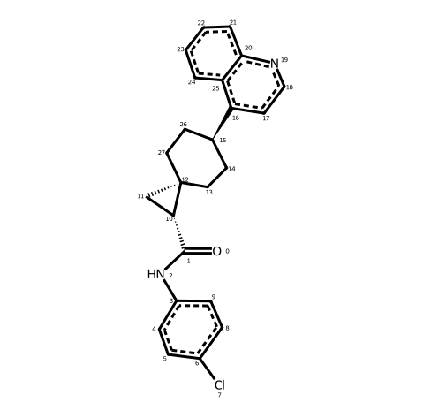 O=C(Nc1ccc(Cl)cc1)[C@@H]1C[C@]12CC[C@H](c1ccnc3ccccc31)CC2